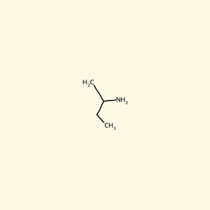 [CH2]C(N)CC